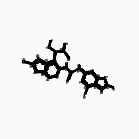 COC(c1c(NC(=O)Nc2cc(F)c3nc(C)nn3c2)cnc2cc(Cl)nn12)C(C)C